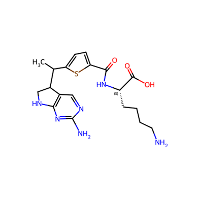 CC(c1ccc(C(=O)N[C@@H](CCCCN)C(=O)O)s1)C1CNc2nc(N)ncc21